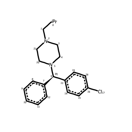 CC(C)CN1CCN([C@H](c2ccccc2)c2ccc(Cl)cc2)CC1